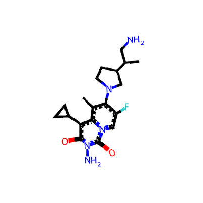 Cc1c(N2CCC(C(C)CN)C2)c(F)cn2c(=O)n(N)c(=O)c(C3CC3)c12